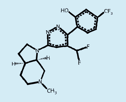 CN1CC[C@H]2CCN(c3cc(C(F)F)c(-c4ccc(C(F)(F)F)cc4O)nn3)[C@H]2C1